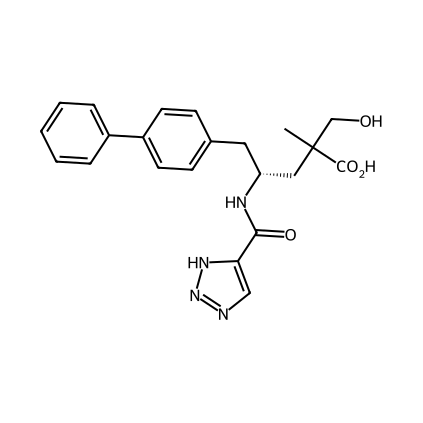 CC(CO)(C[C@@H](Cc1ccc(-c2ccccc2)cc1)NC(=O)c1cnn[nH]1)C(=O)O